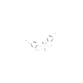 CCCCCCN.CCOc1ccc(NC(=S)Nc2ccc(OCC)cc2)cc1.[Nb]